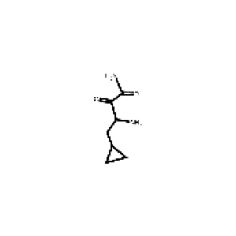 NC(=O)C(=O)C(N)CC1CC1